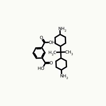 CC(C)(C1CCC(N)CC1)C1CCC(N)CC1.O=C(O)c1cccc(C(=O)O)c1